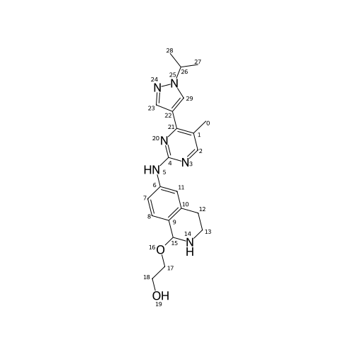 Cc1cnc(Nc2ccc3c(c2)CCNC3OCCO)nc1-c1cnn(C(C)C)c1